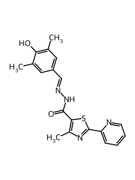 Cc1cc(/C=N/NC(=O)c2sc(-c3ccccn3)nc2C)cc(C)c1O